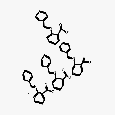 O=C([O-])c1ccccc1N=Cc1ccccc1.O=C([O-])c1ccccc1N=Cc1ccccc1.O=C([O-])c1ccccc1N=Cc1ccccc1.O=C([O-])c1ccccc1N=Cc1ccccc1.[Ir+4]